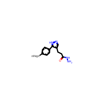 CCCCCCCc1ccc(-c2[nH]ncc2CCC(=O)NN)cc1